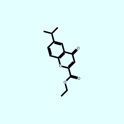 CCOC(=O)c1cc(=O)c2cc(C(C)C)ccc2o1